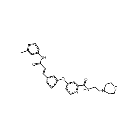 Cc1cccc(NC(=O)C=Cc2cccc(Oc3ccnc(C(=O)NCCN4CCOCC4)c3)c2)c1